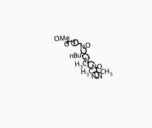 CCCCC1CN(CC2CCN(C(=O)OC)CC2)C(=O)CC12CCN(C1(C)CCN(C(=O)c3c(C)ncnc3C)CC1)CC2